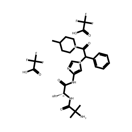 CCC[C@@H](NC(=O)C(C)(C)N)C(=O)Nc1cn(C(C(=O)N2CCC(C)CC2)c2ccccc2)cn1.O=C(O)C(F)(F)F.O=C(O)C(F)(F)F